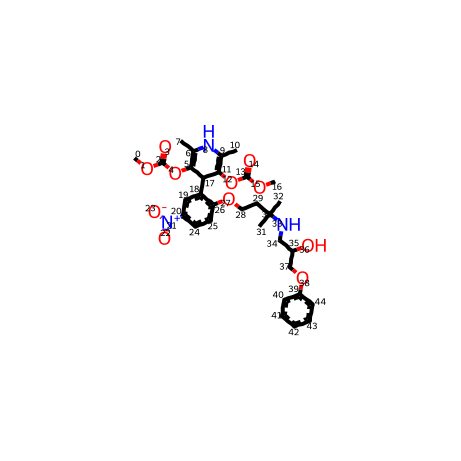 COC(=O)OC1=C(C)NC(C)=C(OC(=O)OC)C1c1cc([N+](=O)[O-])ccc1OCCC(C)(C)NCC(O)COc1ccccc1